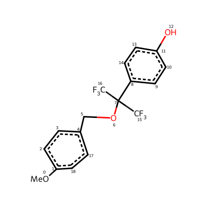 COc1ccc(COC(c2ccc(O)cc2)(C(F)(F)F)C(F)(F)F)cc1